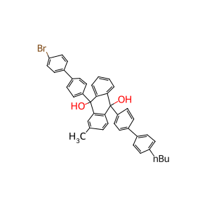 CCCCc1ccc(-c2ccc(C3(O)c4ccccc4C(O)(c4ccc(-c5ccc(Br)cc5)cc4)c4cc(C)ccc43)cc2)cc1